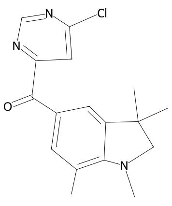 Cc1cc(C(=O)c2cc(Cl)ncn2)cc2c1N(C)CC2(C)C